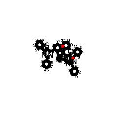 c1ccc(-c2nc(-c3ccccc3)nc(-c3cccc4c3C3(c5ccccc5Oc5ccccc53)c3cccc(-c5nc(-c6ccccc6)nc6c5sc5ccccc56)c3-4)n2)cc1